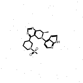 C[C@@H]1Cc2ncnc(C3CCCN(S(C)(=O)=O)C3)c2CN1c1ccnc2[nH]ccc12